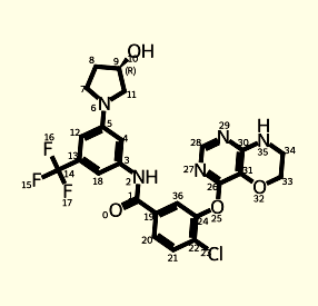 O=C(Nc1cc(N2CC[C@@H](O)C2)cc(C(F)(F)F)c1)c1ccc(Cl)c(Oc2ncnc3c2OCCN3)c1